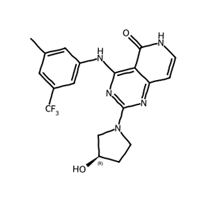 Cc1cc(Nc2nc(N3CC[C@@H](O)C3)nc3cc[nH]c(=O)c23)cc(C(F)(F)F)c1